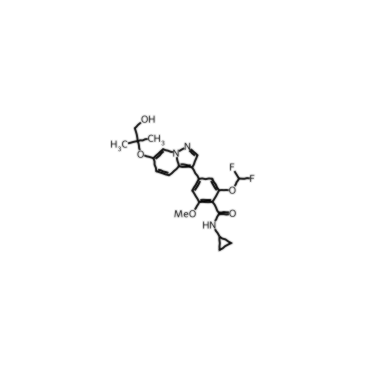 COc1cc(-c2cnn3cc(OC(C)(C)CO)ccc23)cc(OC(F)F)c1C(=O)NC1CC1